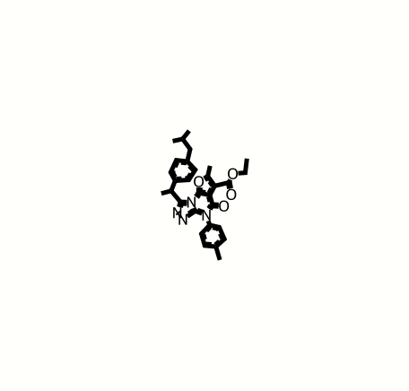 CCOC(=O)c1c(C)oc2c1c(=O)n(-c1ccc(C)cc1)c1nnc(C(C)c3ccc(CC(C)C)cc3)n21